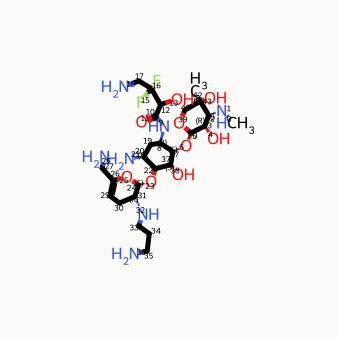 CN[C@@H]1[C@@H](O)[C@@H](O[C@H]2[C@H](NC(=O)C(O)C(F)(F)CN)C[C@H](N)C(O[C@H]3OC(CN)=CC[C@H]3NCCCN)[C@@H]2O)OC[C@]1(C)O